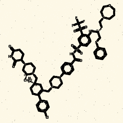 C[C@@H]1CN(C2CCC(=O)NC2=O)CCN1C[C@]1(C)CCC(c2ccc(Cl)cc2)=C(CN2CCN(c3ccc(C(=O)NS(=O)(=O)c4ccc(N[C@H](CCN5CCCOCC5)CSc5ccccc5)c(S(=O)(=O)C(F)(F)F)c4)cc3)CC2)C1